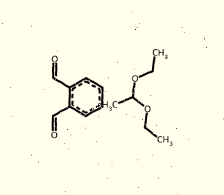 CCOC(C)OCC.O=Cc1ccccc1C=O